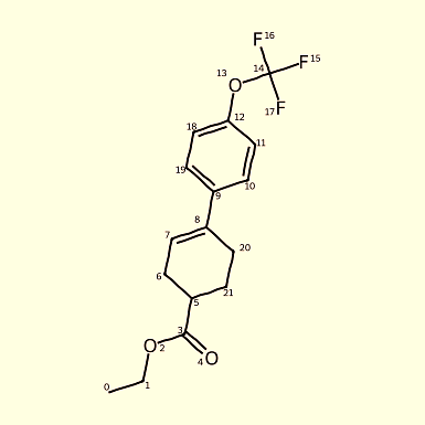 CCOC(=O)C1CC=C(c2ccc(OC(F)(F)F)cc2)CC1